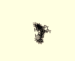 [2H]C([2H])([2H])N1CCCC1CCNS(=O)(=O)c1ccc(OCCC)c(-c2nc3c(CCC)nn(C([2H])([2H])[2H])c3c(=O)[nH]2)c1